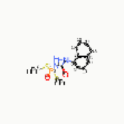 CCCSP(=O)(NC(=O)Nc1cccc2ccccc12)SCCC